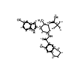 CN1CC[C@@H](NC(=O)c2cc3c(cc2Cl)OCCO3)C[C@@H]1c1nc2cc(Cl)ccc2[nH]1.O=C(O)C(F)(F)F